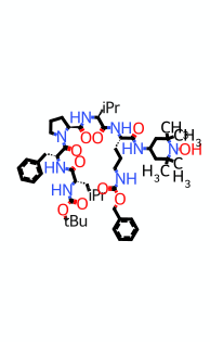 CC(C)C[C@H](NC(=O)OC(C)(C)C)C(=O)N[C@H](Cc1ccccc1)C(=O)N1CCC[C@H]1C(=O)N[C@H](C(=O)N[C@@H](CCCNC(=O)OCc1ccccc1)C(=O)NC1CC(C)(C)N(O)C(C)(C)C1)C(C)C